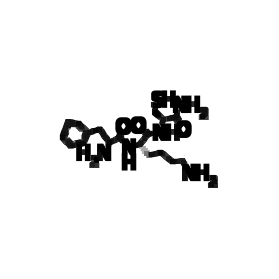 NCCCC[C@H](NC(=O)[C@@H](N)Cc1ccccc1)C(=O)N[C@@H](CS)C(N)=O